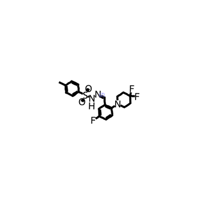 Cc1ccc(S(=O)(=O)N/N=C\c2cc(F)ccc2N2CCC(F)(F)CC2)cc1